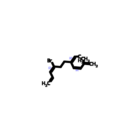 C=C/C=C(/Br)CCC(/C=C\C(=C)C)=C/C